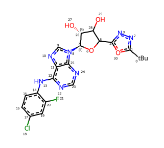 CC(C)(C)c1nnc(C2O[C@@H](n3cnc4c(Nc5ccc(Cl)cc5F)ncnc43)[C@H](O)C2O)o1